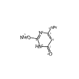 CCCc1cc(=O)[nH]c(OC)n1